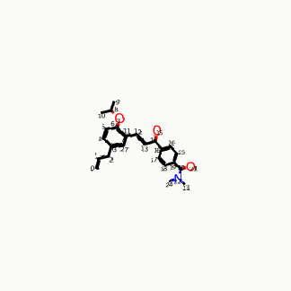 C=CCc1ccc(OC(C)C)c(C=CC(=O)c2ccc(C(=O)N(C)C)cc2)c1